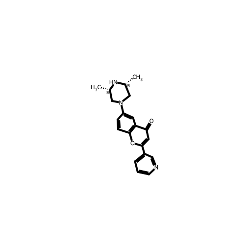 C[C@@H]1CN(c2ccc3oc(-c4cccnc4)cc(=O)c3c2)C[C@H](C)N1